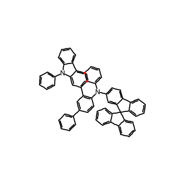 c1ccc(-c2ccc(N(c3ccccc3)c3ccc4c(c3)C3(c5ccccc5-c5ccccc53)c3ccccc3-4)c(-c3ccc4c5ccccc5n(-c5ccccc5)c4c3)c2)cc1